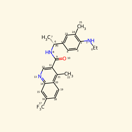 CCNc1ccc([C@@H](C)NC(=O)c2cnc3cc(C(F)(F)F)ccc3c2C)cc1C